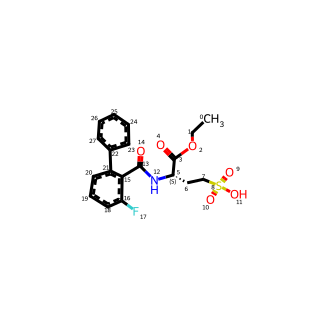 CCOC(=O)[C@H](CCS(=O)(=O)O)NC(=O)c1c(F)cccc1-c1ccccc1